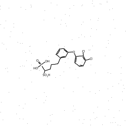 O=P(O)(O)C(CCCc1cccc(Oc2cccc(Cl)c2Cl)c1)S(=O)(=O)O